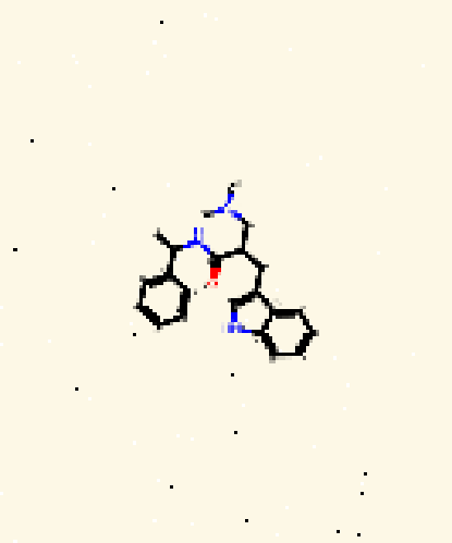 CC(NC(=O)C(Cc1c[nH]c2ccccc12)CN(C)C)c1ccccc1